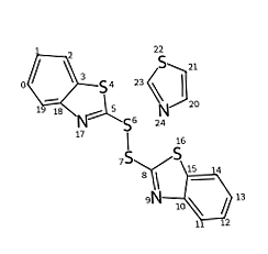 c1ccc2sc(SSc3nc4ccccc4s3)nc2c1.c1cscn1